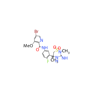 COc1cc(Br)cnc1C(=O)Nc1ccc(F)c([C@]2(C)CS(=O)(=O)N(C)C(=N)N2)c1